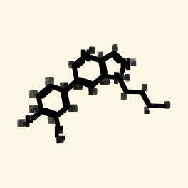 CCCCn1ncc2ncc(-c3ccc(F)c(F)c3)cc21